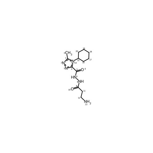 Cc1nnc(C(=O)NNC(=O)CCN)n1C1CCCCC1